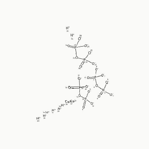 O=P([O-])([O-])OP(=O)([O-])[O-].O=P([O-])([O-])OP(=O)([O-])[O-].O=P([O-])([O-])OP(=O)([O-])[O-].[Ca+2].[Ca+2].[H+].[H+].[H+].[H+].[H+].[H+].[H+].[H+]